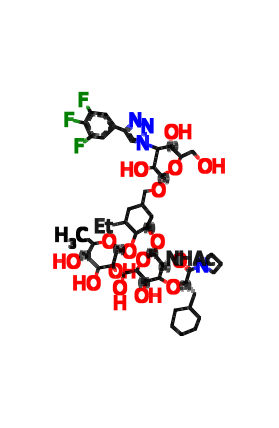 CCC1CC(CO[C@H]2OC(CO)[C@@H](O)C(n3cc(-c4cc(F)c(F)c(F)c4)nn3)C2O)C[C@@H](O[C@@H]2OC(CO)[C@H](O)C(O[C@@H](CC3CCCCC3)C(=O)N3CCC3)[C@H]2NC(C)=O)C1O[C@@H]1OC(C)[C@@H](O)C(O)C1O